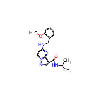 COc1ccccc1CNc1ccn2ncc(C(=O)NC(C)C)c2n1